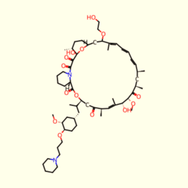 CO[C@@H]1C[C@H](CC(C)[C@@H]2CC(=O)[C@H](C)/C=C(\C)[C@@H](O)[C@@H](OC)C(=O)[C@H](C)C[C@H](C)/C=C/C=C/C=C(\C)C(OCCO)C[C@@H]3CC[C@@H](C)[C@@](O)(O3)C(=O)C(=O)N3CCCC[C@H]3C(=O)O2)CC[C@H]1OCCCN1CCCCC1